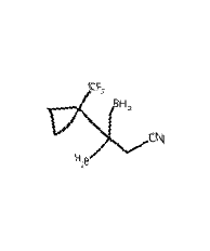 BC(B)(CC#N)C1(C(F)(F)F)CC1